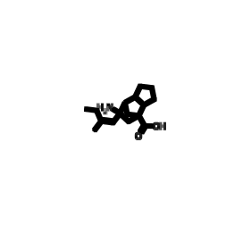 CC/C(C)=C\C1(N)CC2(C(=O)O)CC1C1CCCC12